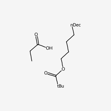 CCC(=O)O.CCCCCCCCCCCCCCOC(=O)C(C)(C)C